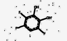 Oc1c(F)cc(F)c(F)c1O